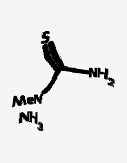 CNC(N)=S.N